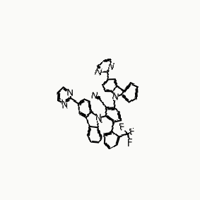 N#Cc1c(-n2c3ccccc3c3cc(-c4ncccn4)ccc32)ccc(-c2ccccc2C(F)(F)F)c1-n1c2ccccc2c2cc(-c3ncccn3)ccc21